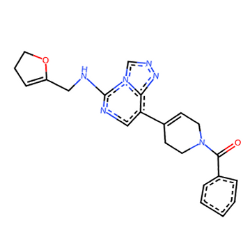 O=C(c1ccccc1)N1CC=C(c2cnc(NCC3=CCCO3)n3cnnc23)CC1